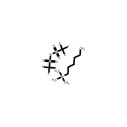 CCCCCC[N+](C)(C)C.O=S(=O)([N-]S(=O)(=O)C(F)(F)F)C(F)(F)F